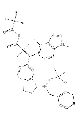 Cc1c([C@@H](c2ccc3c(c2)[C@H](N2Cc4ccncc4OC(C)(C)C2)CC3)C(C)(C)C(=O)OC(=O)C(F)(F)F)ccc2c1nnn2C